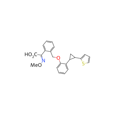 CON=C(C(=O)O)c1ccccc1COc1ccccc1C1CC1c1cccs1